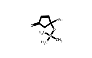 CCCCC1(O[Si](C)(C)C)C=CC(=O)C1